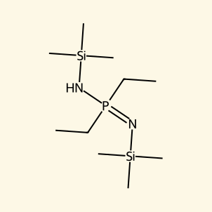 CCP(CC)(=N[Si](C)(C)C)N[Si](C)(C)C